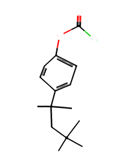 CC(C)(C)CC(C)(C)c1ccc(OC(=O)Cl)cc1